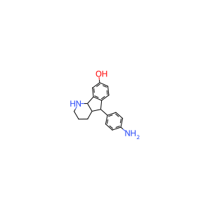 Nc1ccc(C2c3ccc(O)cc3C3NCCCC32)cc1